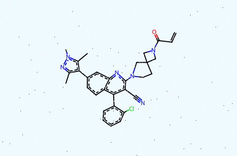 C=CC(=O)N1CC2(CCN(c3nc4cc(-c5c(C)nn(C)c5C)ccc4c(-c4ccccc4Cl)c3C#N)C2)C1